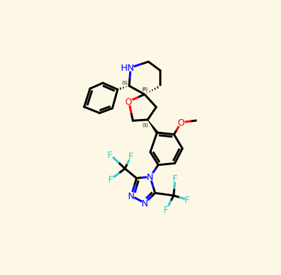 COc1ccc(-n2c(C(F)(F)F)nnc2C(F)(F)F)cc1[C@H]1CO[C@]2(CCCN[C@H]2c2ccccc2)C1